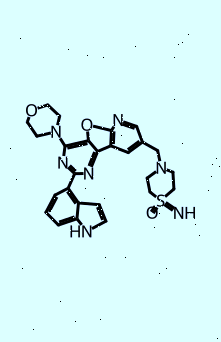 N=S1(=O)CCN(Cc2cnc3oc4c(N5CCOCC5)nc(-c5cccc6[nH]ccc56)nc4c3c2)CC1